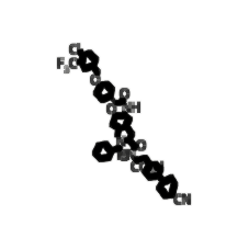 N#Cc1ccc(-c2ccc(C[C@H](NC(=O)C3Cc4cc5c(cc4CN3C(=O)c3ccccc3)O[C@@H](c3ccc(OCc4ccc(Cl)c(C(F)(F)F)c4)cc3)C(=O)N5)C(=O)O)cc2)cc1